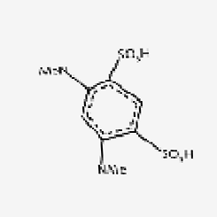 CNc1cc(NC)c(S(=O)(=O)O)cc1S(=O)(=O)O